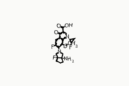 COc1c(N2C[C@]3(N)CCC[C@]3(F)C2)c(F)cc2c(=O)c(C(=O)O)cn([C@@H]3C[C@@H]3F)c12